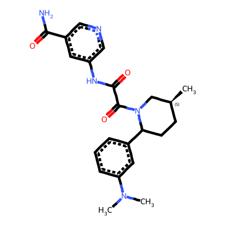 C[C@H]1CCC(c2cccc(N(C)C)c2)N(C(=O)C(=O)Nc2cncc(C(N)=O)c2)C1